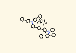 CC1(C)c2ccccc2-c2ccc(N(c3ccc(-c4ccccc4)cc3)c3cccc(-c4ccc(-c5ccc6c(c5)c5c(-c7ccccc7)ccc(-c7ccccc7)c5n6-c5ccccc5)cc4)c3)cc21